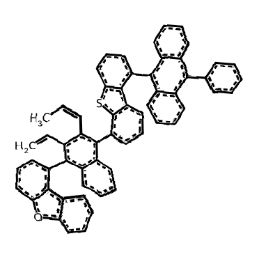 C=Cc1c(/C=C\C)c(-c2cccc3c2sc2cccc(-c4c5ccccc5c(-c5ccccc5)c5ccccc45)c23)c2ccccc2c1-c1cccc2oc3ccccc3c12